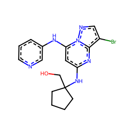 OCC1(Nc2cc(Nc3cccnc3)n3ncc(Br)c3n2)CCCC1